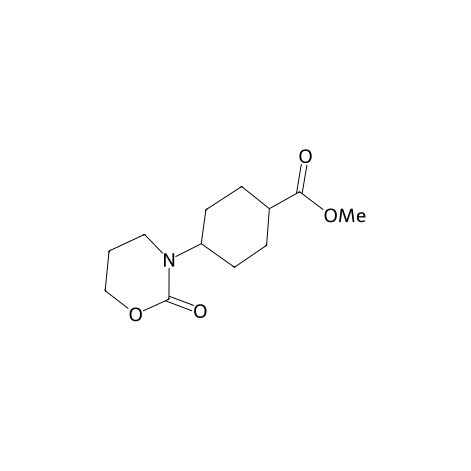 COC(=O)C1CCC(N2CCCOC2=O)CC1